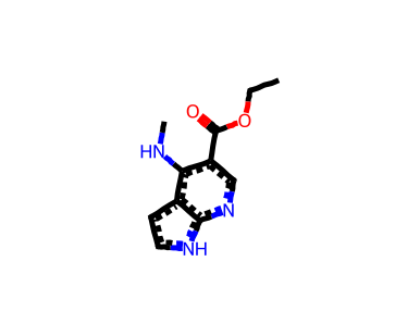 CCOC(=O)c1cnc2[nH]ccc2c1NC